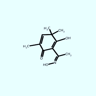 CC1=CC(C)(C)C(O)=C(/C(C)=N\O)C1=O